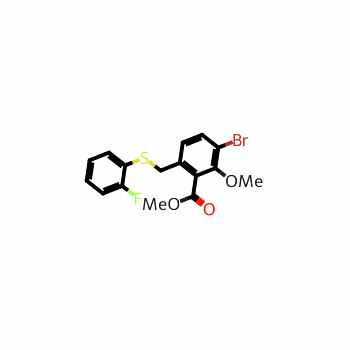 COC(=O)c1c(CSc2ccccc2F)ccc(Br)c1OC